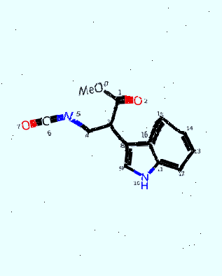 COC(=O)C(CN=C=O)c1c[nH]c2ccccc12